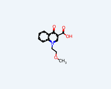 COCCn1cc(C(=O)O)c(=O)c2ccccc21